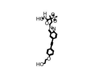 CC(CCn1cc2cc(C#Cc3ccc(OCCO)cc3)ccc2n1)(C(=O)NO)S(C)(=O)=O